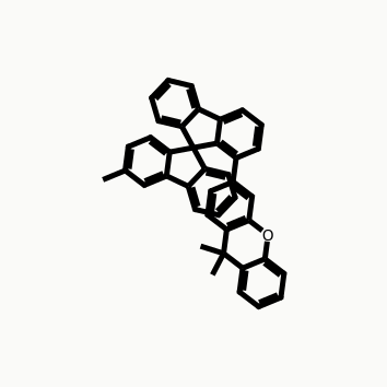 Cc1ccc2c(c1)-c1ccccc1C21c2ccccc2-c2cccc(-c3ccc4c(c3)Oc3ccccc3C4(C)C)c21